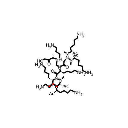 CC(=O)[C@H](CCCCN)N(C)C(=O)[C@H](CCCCN)N(C(=O)[C@H](CCCCN)N(CN[C@@H](C)C(=O)CO)C(=O)[C@H](CCCCN)N(N(C)[C@@H](CCCCN)C(C)=O)N(C)[C@@H](CCCCN)C(C)=O)N(C)[C@@H](CCCCN)C(C)=O